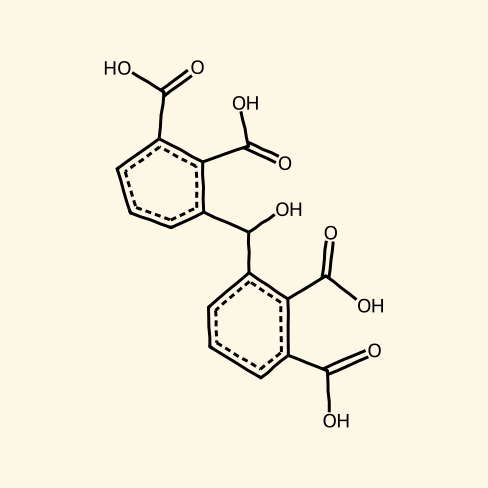 O=C(O)c1cccc(C(O)c2cccc(C(=O)O)c2C(=O)O)c1C(=O)O